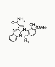 COc1ccc(C)c(-n2cc(C(N)=O)c3nc4ccccc4nc32)c1C